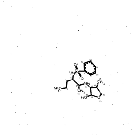 CCC[C@@H](NS(=O)(=O)c1ccccc1)C(C)N[C@H]1C(C)COC1O